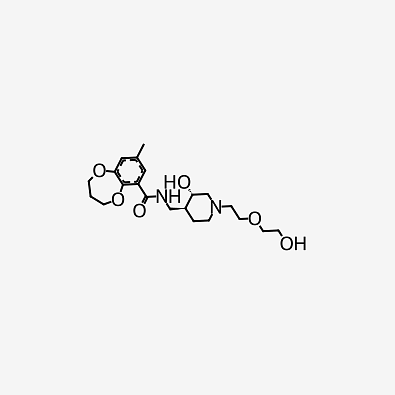 Cc1cc2c(c(C(=O)NC[C@@H]3CCN(CCOCCO)C[C@H]3O)c1)OCCCO2